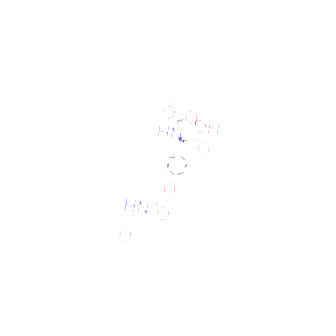 COCCNC(=O)COc1ccc([C@@H](NC(=O)OC(C)(C)C)C(=O)O)cc1